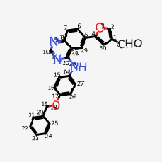 O=Cc1coc(-c2ccc3ncnc(Nc4ccc(OCc5ccccc5)cc4)c3c2)c1